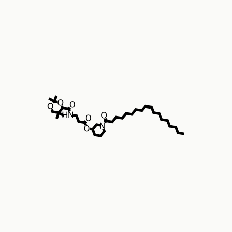 CCCCCCCC/C=C\CCCCCCCC(=O)N1CCCC(OC(=O)CCNC(=O)C2OC(C)(C)OCC2(C)C)C1